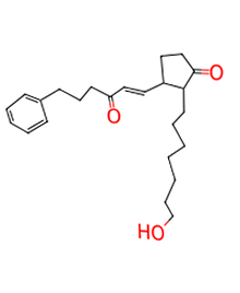 O=C(/C=C/C1CCC(=O)C1CCCCCCCO)CCCc1ccccc1